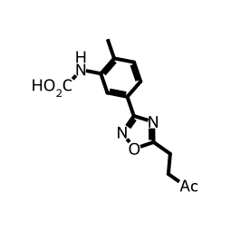 CC(=O)CCc1nc(-c2ccc(C)c(NC(=O)O)c2)no1